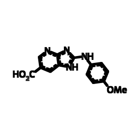 COc1ccc(Nc2nc3ncc(C(=O)O)cc3[nH]2)cc1